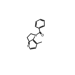 Cc1ccnc2c1N(C(=O)c1ccccc1)CC2